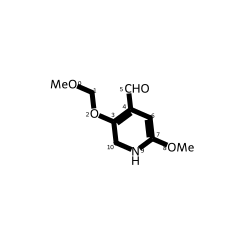 COCOC1=C(C=O)C=C(OC)NC1